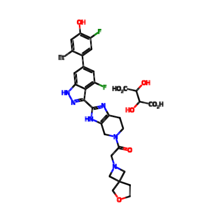 CCc1cc(O)c(F)cc1-c1cc(F)c2c(-c3nc4c([nH]3)CN(C(=O)CN3CC5(CCOC5)C3)CC4)n[nH]c2c1.O=C(O)C(O)C(O)C(=O)O